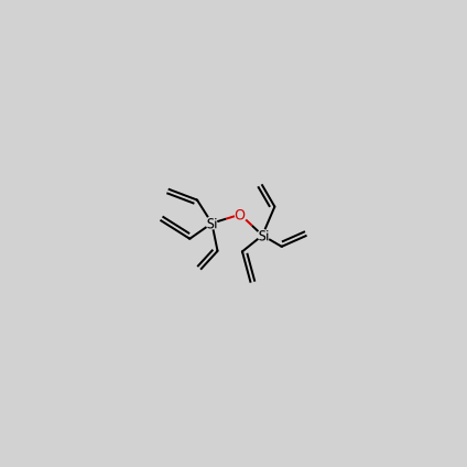 C=C[Si](C=C)(C=C)O[Si](C=C)(C=C)C=C